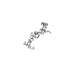 Cc1c(NC(=O)c2nc3c(n2C)CCN(C(=O)OC(C)(C)C)C3)cccc1-c1cccc(-c2nc3cc(C(=O)O)c(OC(F)F)cc3o2)c1F